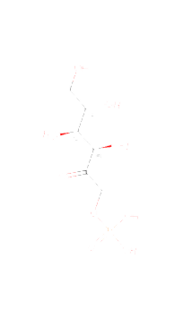 O=C(COP(=O)(O)O)[C@H](O)[C@@H](O)[C@@H](O)CO